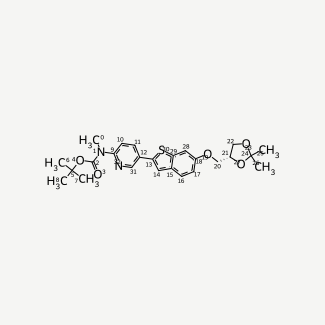 CN(C(=O)OC(C)(C)C)c1ccc(-c2cc3ccc(OC[C@@H]4COC(C)(C)O4)cc3s2)cn1